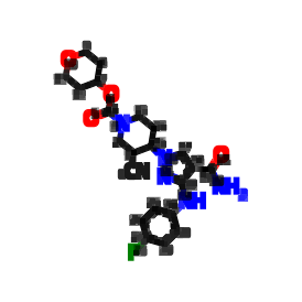 N#C[C@H]1CN(C(=O)OC2CCOCC2)CC[C@H]1n1cc(C(N)=O)c(Nc2ccc(F)cc2)n1